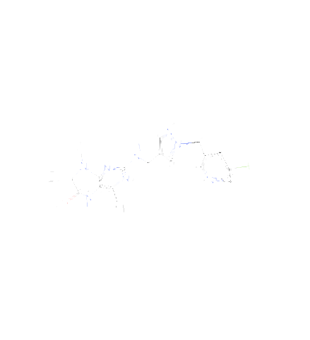 CC[C@H]1C(=O)Nc2c(C)nc(NCc3cnn(Cc4cncc(F)c4)c3)nc2N1C